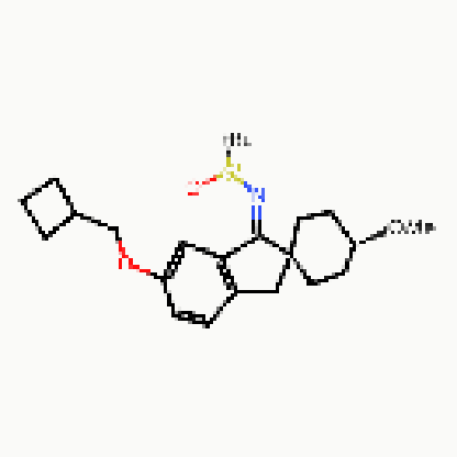 CO[C@H]1CC[C@@]2(CC1)Cc1ccc(OCC3CCC3)cc1C2=N[S+]([O-])C(C)(C)C